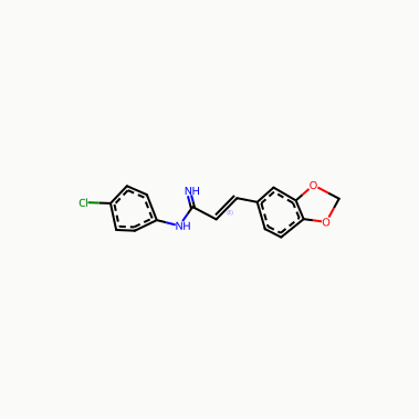 N=C(/C=C/c1ccc2c(c1)OCO2)Nc1ccc(Cl)cc1